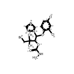 CNC(=O)OC(C(Oc1ccc(Cl)cc1Cl)n1cncn1)C(C)(C)CBr